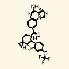 Nc1nc2ccc(C(=O)N3CCC4(CC4)[C@@H]4Oc5cc(OC(F)(F)F)ccc5[C@@H]43)cc2n2cncc12